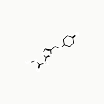 CC(C)(C)OC(=O)Nc1nc(COC2CCC(=O)CC2)cs1